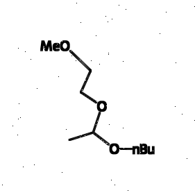 CCCCOC(C)OCCOC